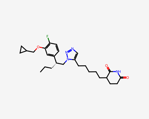 CCC[C@@H](Cn1nncc1CCCCCC1CCC(=O)NC1=O)c1ccc(F)c(OCC2CC2)c1